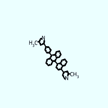 Cc1cncc(-c2ccc(-c3c4ccccc4c(-c4ccc(-c5ccnc(C)c5)c5ccccc45)c4ccccc34)cc2)c1